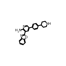 Nc1ncc(-c2ccc(C3CCNCC3)cc2)cc1-c1nc2ccccc2o1